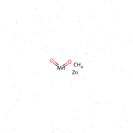 C.[O]=[Mn]=[O].[Zn]